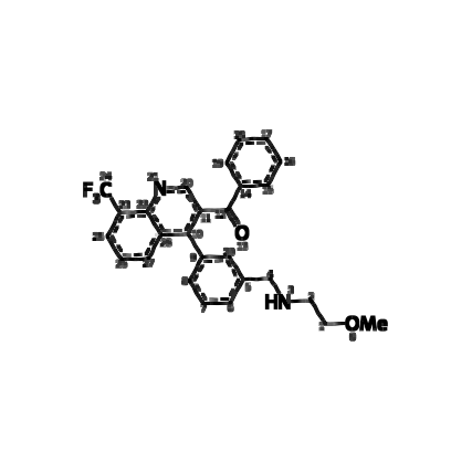 COCCNCc1cccc(-c2c(C(=O)c3ccccc3)cnc3c(C(F)(F)F)cccc23)c1